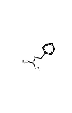 CN(C)[N]Cc1ccccc1